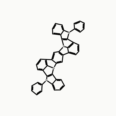 c1ccc(-n2c3ccccc3c3c2c2cccc4c5cc6c(cc5n3c42)c2cccc3c4c(c5ccccc5n4-c4ccccc4)n6c23)cc1